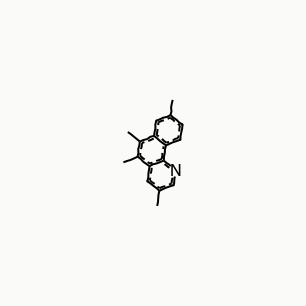 Cc1ccc2c(c1)c(C)c(C)c1cc(C)cnc12